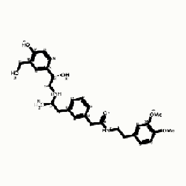 COc1ccc(CCNC(=O)Cc2cccc(C[C@@H](C)NC[C@@H](O)c3ccc(O)c(CO)c3)c2)cc1OC